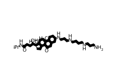 CC(C)NC(=O)CC[C@@H](O)[C@H]1CCC2C3C(=O)CC4C[C@@H](NCCCNCCCCNCCCN)CC[C@]4(C)C3CC[C@@]21C